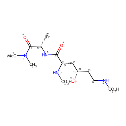 CON(C)C(=O)[C@@H](NC(=O)[C@H](C[C@@H](O)CCNC(=O)O)NC(=O)O)C(C)C